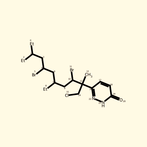 CCC(CC)CC(Br)CC(CC)CC(Br)C(C)(CCl)c1ccc(=O)[nH]n1